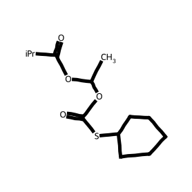 CC(OC(=O)SC1CCCCC1)OC(=O)C(C)C